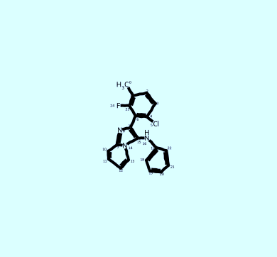 Cc1ccc(Cl)c(-c2nc3ccccn3c2Nc2ccccc2)c1F